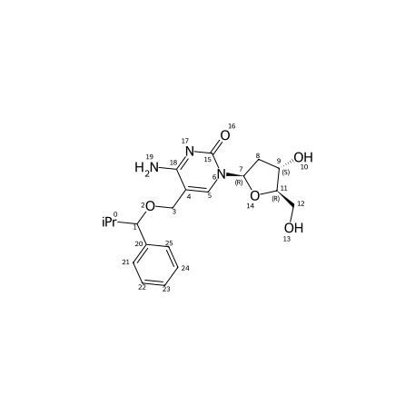 CC(C)C(OCc1cn([C@H]2C[C@H](O)[C@@H](CO)O2)c(=O)nc1N)c1ccccc1